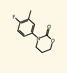 Cc1cc(N2CCCOC2=O)ccc1F